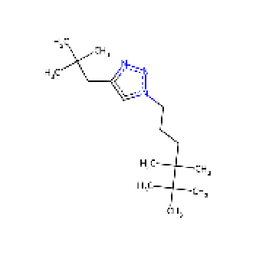 CC(C)(C)Cc1cn(CCCC(C)(C)C(C)(C)C)nn1